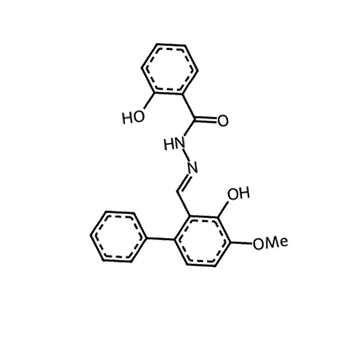 COc1ccc(-c2ccccc2)c(C=NNC(=O)c2ccccc2O)c1O